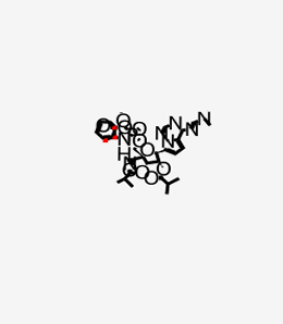 COC(=O)[C@H](C)NP(=O)(OC[C@@]1(C#N)O[C@@H](c2ccc3c(/N=C/N(C)C)ncnn23)[C@H](OC(=O)C(C)C)[C@@H]1OC(=O)C(C)C)Oc1ccccc1